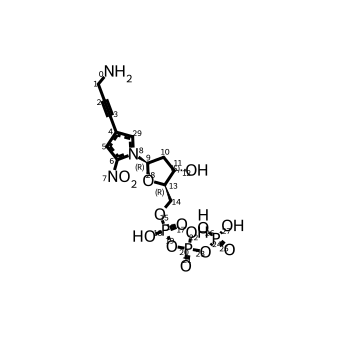 NCC#Cc1cc([N+](=O)[O-])n([C@H]2C[C@H](O)[C@@H](COP(=O)(O)OP(=O)(O)OP(=O)(O)O)O2)c1